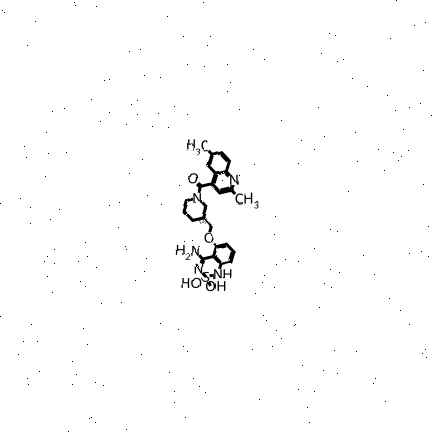 Cc1ccc2nc(C)cc(C(=O)N3CCC[C@H](COc4cccc5c4C(N)=NS(O)(O)N5)C3)c2c1